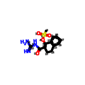 CS(=O)(=O)OC1=C(C(=O)NC(=N)N)CCc2ccccc21